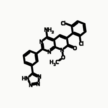 COn1c(=O)c(-c2c(Cl)cccc2Cl)cc2c(N)nc(-c3cccc(-c4nnn[nH]4)c3)nc21